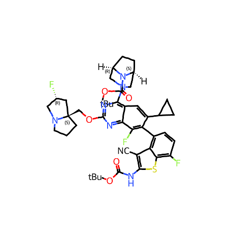 CC(C)(C)OC(=O)Nc1sc2c(F)ccc(-c3c(C4CC4)cc4c(N5C[C@H]6CC[C@@H](C5)N6C(=O)OC(C)(C)C)nc(OC[C@@]56CCCN5C[C@H](F)C6)nc4c3F)c2c1C#N